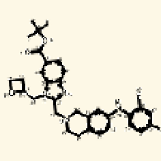 CC(C)(C)OC(=O)c1ccc2nc(CN3CCc4ccc(Nc5ccc(Cl)cc5F)cc4C3)n(C[C@@H]3CCO3)c2c1